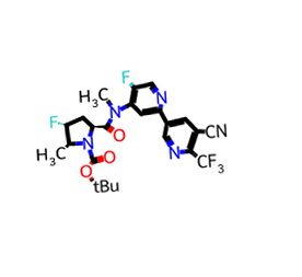 C[C@H]1[C@H](F)C[C@@H](C(=O)N(C)c2cc(-c3cnc(C(F)(F)F)c(C#N)c3)ncc2F)N1C(=O)OC(C)(C)C